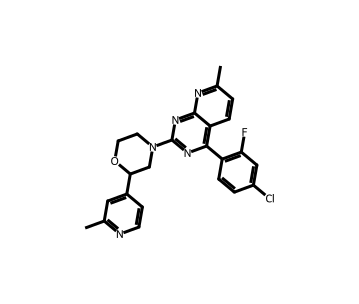 Cc1cc(C2CN(c3nc(-c4ccc(Cl)cc4F)c4ccc(C)nc4n3)CCO2)ccn1